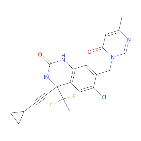 Cc1cc(=O)n(Cc2cc3c(cc2Cl)C(C#CC2CC2)(C(C)(F)F)NC(=O)N3)cn1